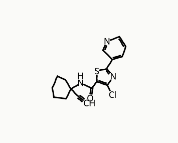 C#CC1(NC(=O)c2sc(-c3cccnc3)nc2Cl)CCCCC1